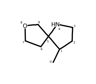 CC1CCNC12CCOC2